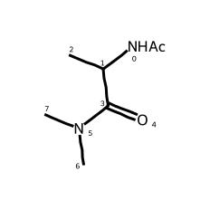 CC(=O)NC(C)C(=O)N(C)C